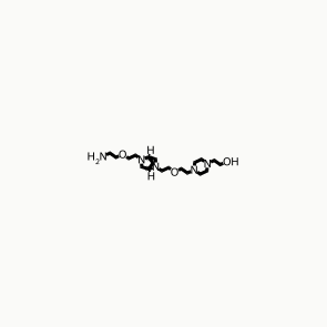 NCCOCCN1C[C@@H]2C[C@H]1CN2CCOCCN1CCN(CCO)CC1